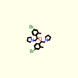 Cc1cc(Br)ccc1C(CN1CCCC1)OC(CN1CCCC1)c1ccc(Br)cc1C